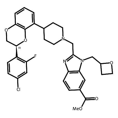 COC(=O)c1ccc2nc(CN3CCC(c4cccc5c4O[C@@H](c4ccc(Cl)cc4F)CO5)CC3)n(CC3CCO3)c2c1